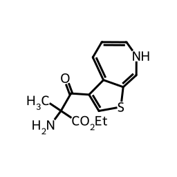 CCOC(=O)C(C)(N)C(=O)c1csc2c1=CC=CNC=2